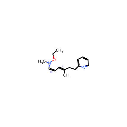 CCON(C)/C=C\C=C(/C)CCc1ccccn1